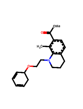 COC(=O)c1ccc2c(c1C)N(CCOC1C=CC=CC1)CCC2